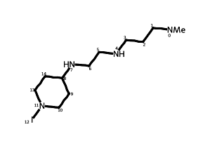 CNCCCNCCNC1CCN(I)CC1